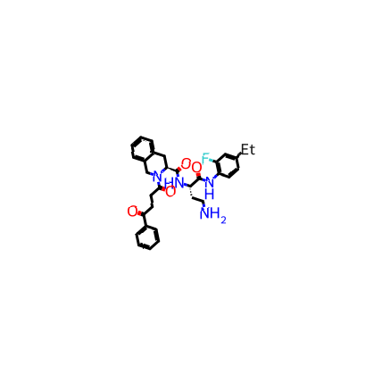 CCc1ccc(NC(=O)[C@H](CCN)NC(=O)[C@@H]2Cc3ccccc3CN2C(=O)CCC(=O)c2ccccc2)c(F)c1